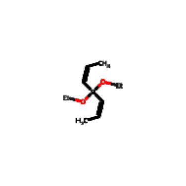 C/C=C\[Si](/C=C\C)(OCC)OCC